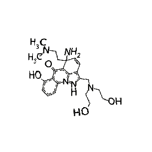 CN(C)CCC1(N)C=Cc2c(CN(CCO)CCO)[nH]n3c2c1c(=O)c1c(O)cccc13